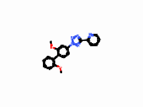 COc1ccccc1-c1ccc(-n2nnc(-c3ccccn3)n2)cc1OC